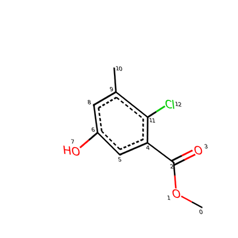 COC(=O)c1cc(O)cc(C)c1Cl